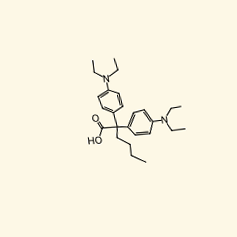 CCCCC(C(=O)O)(c1ccc(N(CC)CC)cc1)c1ccc(N(CC)CC)cc1